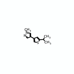 CC(C)c1cc(-c2cnn(C)c2)cs1